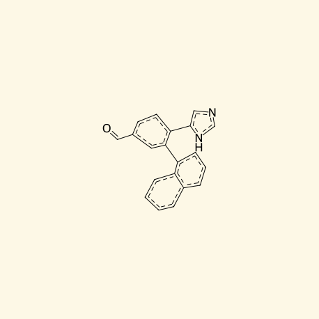 O=Cc1ccc(-c2cnc[nH]2)c(-c2cccc3ccccc23)c1